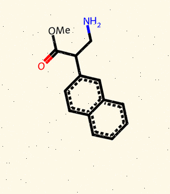 COC(=O)C(CN)c1ccc2ccccc2c1